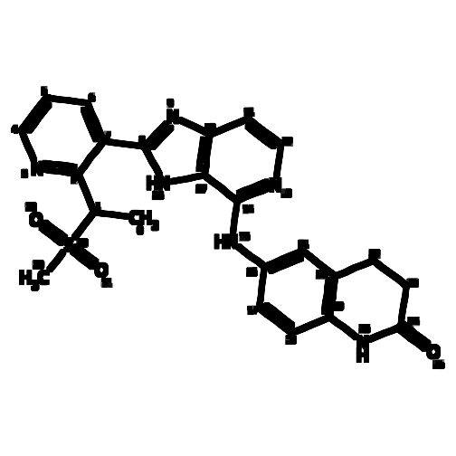 CC(c1ncccc1-c1nc2ccnc(Nc3ccc4c(c3)CCC(=O)N4)c2[nH]1)S(C)(=O)=O